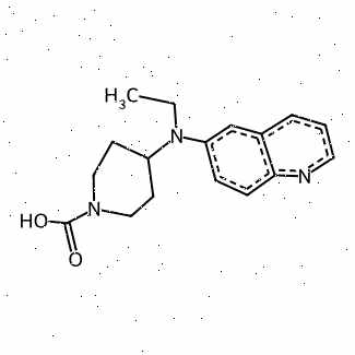 CCN(c1ccc2ncccc2c1)C1CCN(C(=O)O)CC1